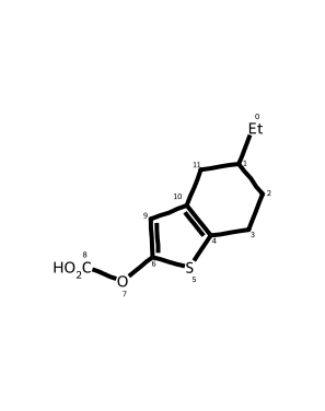 CCC1CCc2sc(OC(=O)O)cc2C1